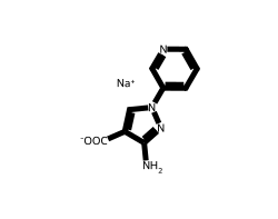 Nc1nn(-c2cccnc2)cc1C(=O)[O-].[Na+]